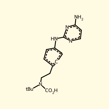 CC(C)(C)N(CCc1ccc(Nc2nccc(N)n2)cc1)C(=O)O